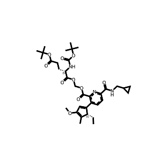 CC[C@H]1C(c2ccc(C(=O)NCC3CC3)nc2C(=O)OCOC(=O)[C@H](CCC(=O)OC(C)(C)C)NC(=O)OC(C)(C)C)=CC(OC)=C1C